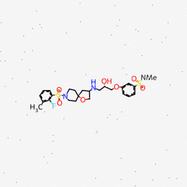 CNS(=O)(=O)c1cccc(OC[C@@H](O)CNC2COC3(CCN(S(=O)(=O)c4cccc(C)c4F)CC3)C2)c1